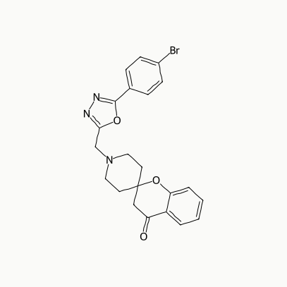 O=C1CC2(CCN(Cc3nnc(-c4ccc(Br)cc4)o3)CC2)Oc2ccccc21